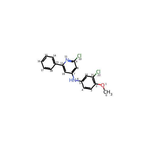 COc1ccc(Nc2cc(Cl)nc(-c3ccccc3)c2)cc1Cl